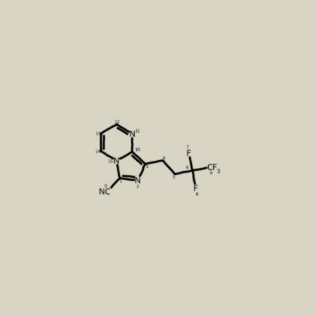 N#Cc1nc(CCC(F)(F)C(F)(F)F)c2ncccn12